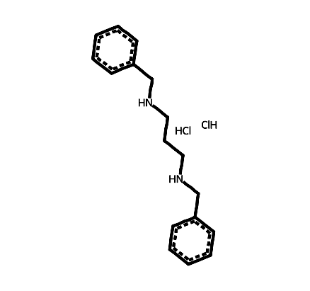 Cl.Cl.c1ccc(CNCCCNCc2ccccc2)cc1